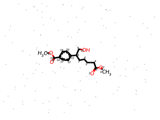 COC(=O)CCCCC(CO)c1ccc(C(=O)OC)cc1